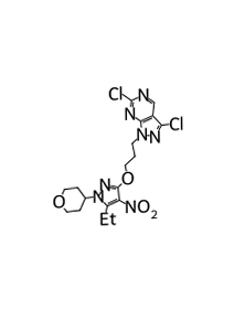 CCc1c([N+](=O)[O-])c(OCCCn2nc(Cl)c3cnc(Cl)nc32)nn1C1CCOCC1